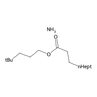 CCCCCCCCCC(=O)OCCCC(C)(C)C.N